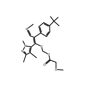 C/N=C\C(=C(\OCOC(=O)COC)c1c(C)c(C)nn1C)c1ccc(C(C)(C)C)cc1